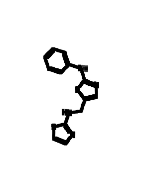 c1ccc(Nc2ncc(CNc3nccs3)s2)cc1